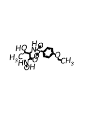 CCOc1ccc(S(=O)(=O)NC(C(=O)NO)[C@H](C)O)cc1